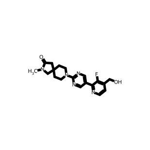 CN1CC2(CCN(c3ncc(-c4nccc(CO)c4F)cn3)CC2)CC1=O